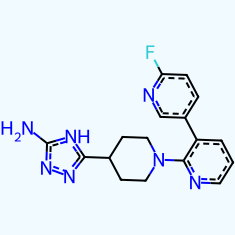 Nc1nnc(C2CCN(c3ncccc3-c3ccc(F)nc3)CC2)[nH]1